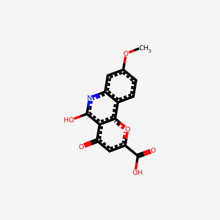 COc1ccc2c(c1)nc(O)c1c(=O)cc(C(=O)O)oc12